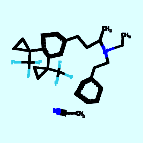 CC#N.CCN(CCc1ccccc1)C(C)CCc1ccc(C2(C(F)(F)F)CC2)c(C2(C(F)(F)F)CC2)c1